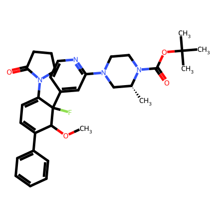 COC1C(c2ccccc2)=CC=C(N2CCCC2=O)C1(F)c1ccnc(N2CCN(C(=O)OC(C)(C)C)[C@H](C)C2)c1